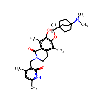 Cc1cc(C)c(CN2CCc3c(C)c4c(c(C)c3C2=O)O[C@@](C)(C23CCC(N(C)C)(CC2)CC3)O4)c(=O)[nH]1